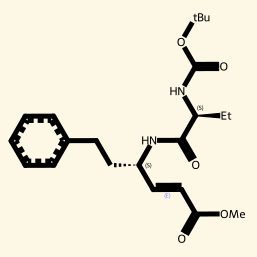 CC[C@H](NC(=O)OC(C)(C)C)C(=O)N[C@H](/C=C/C(=O)OC)CCc1ccccc1